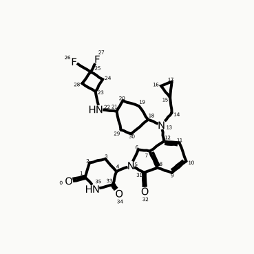 O=C1CCC(N2Cc3c(cccc3N(CC3CC3)C3CCC(NC4CC(F)(F)C4)CC3)C2=O)C(=O)N1